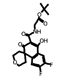 CC(C)(C)OC(=O)CNC(=O)C1=C(O)c2cc(F)c(F)cc2C2(CCOCC2)C1=O